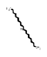 CCCCCCCCCCCCCCCCCCCC.P